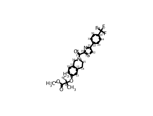 COC(=O)C(C)(C)Oc1ccc2c(c1)CCN(C(=O)c1nc(-c3ccc(C(F)(F)F)cc3)cs1)C2